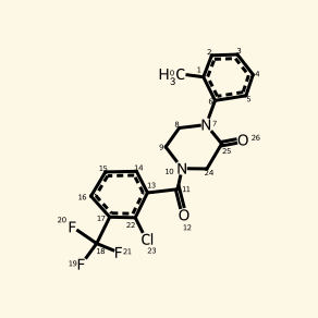 Cc1ccccc1N1CCN(C(=O)c2cccc(C(F)(F)F)c2Cl)CC1=O